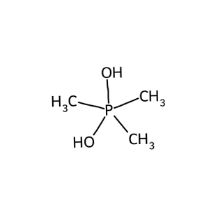 CP(C)(C)(O)O